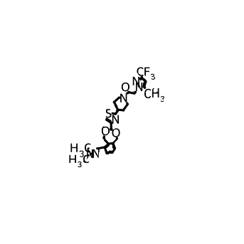 Cc1cc(C(F)(F)F)nn1CC(=O)N1CCC(c2nc(C3OCc4cccc(C=NN(C)C)c4CO3)cs2)CC1